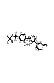 C=C/C=C(\C=C/C)c1nnc(-c2ccc(C(C)(C)CC(C)(C)C)cc2O)o1